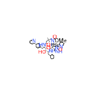 COC(=O)NCC(C)(C)CC(=O)NC(Cc1ccc(-c2ccccn2)cc1)CC(O)C(Cc1ccccc1)NC(=O)C(C1CNC(=O)N1Cc1ccccn1)C(C)(C)C